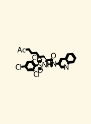 CC(=O)CCCCC[C@H](NS(=O)(=O)c1c(Cl)cc(Cl)cc1Cl)C(=O)Nc1cnc2ccccc2c1